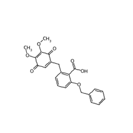 COC1=C(OC)C(=O)C(Cc2cccc(OCc3ccccc3)c2C(=O)O)=CC1=O